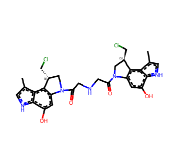 Cc1c[nH]c2c(O)cc3c(c12)[C@H](CCl)CN3C(=O)CNCC(=O)N1C[C@@H](CCl)c2c1cc(O)c1[nH]cc(C)c21